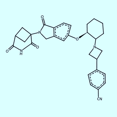 N#Cc1ccc(C2CN(C3CCCC[C@@H]3Oc3ccc4c(c3)CN(C35CC(C3)C(=O)NC5=O)C4=O)C2)cc1